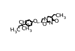 CCc1cn2c(nc1=O)O[C@H](COc1ccc(C(C)(C)CC)cc1)C2